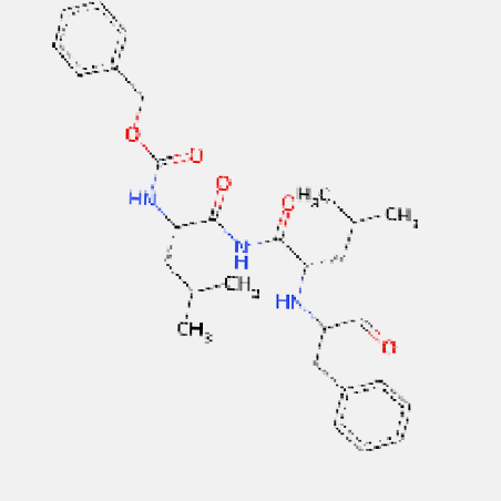 CC(C)C[C@H](NC(=O)OCc1ccccc1)C(=O)NC(=O)[C@H](CC(C)C)NC(C=O)Cc1ccccc1